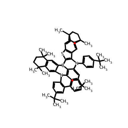 CC(C)(C)c1ccc(N2c3cc(C(C)(C)C)cc4c3B(c3cc5c(cc3N4c3ccc(C(C)(C)C)cc3-c3ccccc3)C(C)(C)CCC5(C)C)c3sc4cc5c(cc4c32)C2(C)CCC5(C)CC2)cc1